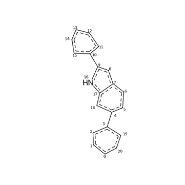 c1ccc(-c2ccc3cc(-c4ccccc4)[nH]c3c2)cc1